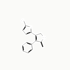 C=C1OCC(c2ccc(Cl)s2)=C1c1ccccc1